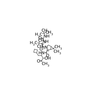 CC(=O)C(O)C(CC1CCC1)NC(=O)[C@@H]1C2C(CN1C(=O)[C@@H](NC(=O)NC(C)(C)C)C(C)(C)C)C2(C)C